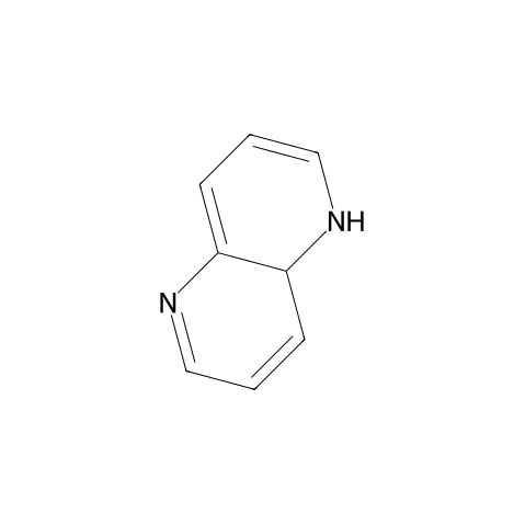 C1=CNC2C=CC=NC2=C1